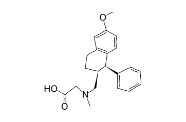 COc1ccc2c(c1)CC[C@H](CN(C)CC(=O)O)[C@@H]2c1ccccc1